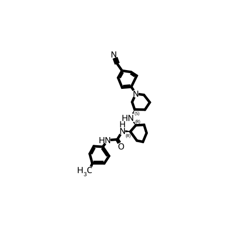 Cc1ccc(NC(=O)N[C@@H]2CCCC[C@H]2N[C@H]2CCCN(c3ccc(C#N)cc3)C2)cc1